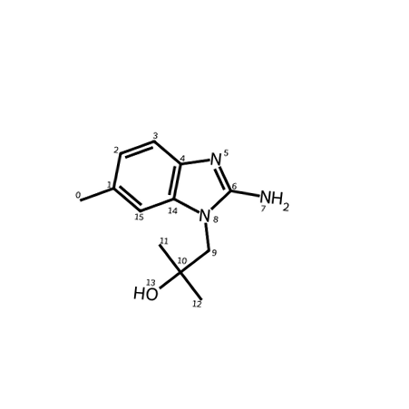 Cc1ccc2nc(N)n(CC(C)(C)O)c2c1